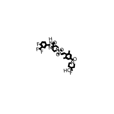 Cc1cc(C(=O)N2CCC(O)(CF)CC2)cc(C)c1C=CS(=O)(=O)N1CCC2(CC1)N=C(c1ccc(F)c(C(F)F)c1)NC2=O